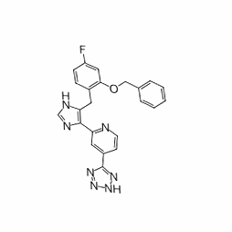 Fc1ccc(Cc2[nH]cnc2-c2cc(-c3nn[nH]n3)ccn2)c(OCc2ccccc2)c1